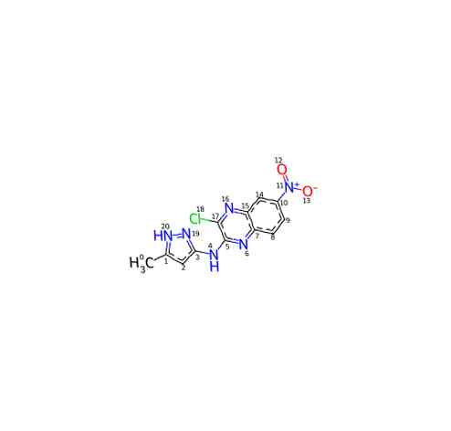 Cc1cc(Nc2nc3ccc([N+](=O)[O-])cc3nc2Cl)n[nH]1